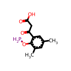 Cc1cc(C)c(OP)c(C(=O)CC(=O)O)c1